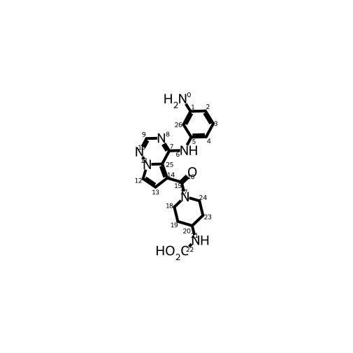 Nc1cccc(Nc2ncnn3ccc(C(=O)N4CCC(NC(=O)O)CC4)c23)c1